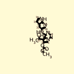 COC(=O)Oc1cn2ncnc(Nc3cnc4[nH]ccc4c3)c2c1C(C)C